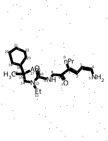 CCC/C(=C\C=C/N)C(=O)CNC(=O)N(CC)CC(C)(C(C)=O)C1CCCCC1